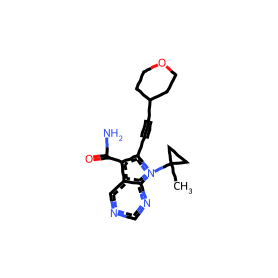 CC1(n2c(C#CC3CCOCC3)c(C(N)=O)c3cncnc32)CC1